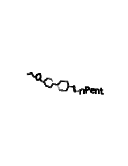 C=CCOC[C@H]1CC[C@H]([C@H]2CC[C@H](C=CCCCCC)CC2)CC1